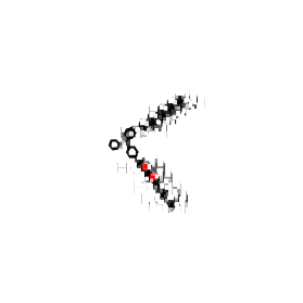 OB(O)O.OB(O)O.OB(O)O.OB(O)O.OB(O)O.OB(O)O.OB(O)O.OB(O)O.OB(O)O.OB(O)O.c1ccc(N(c2ccccc2)c2ccccc2)cc1